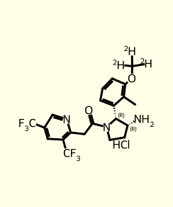 Cl.[2H]C([2H])([2H])Oc1cccc([C@@H]2[C@H](N)CCN2C(=O)Cc2ncc(C(F)(F)F)cc2C(F)(F)F)c1C